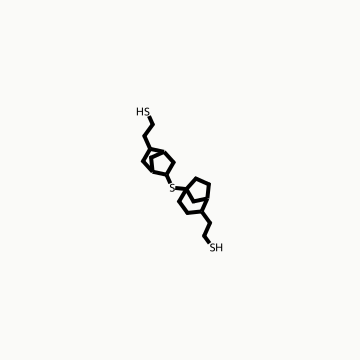 SCCC1CCC2(SC3CC4CC3CC4CCS)CCC1C2